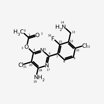 CC(=O)Oc1nc(-c2ccc(Cl)c(CN)c2F)nc(N)c1Cl